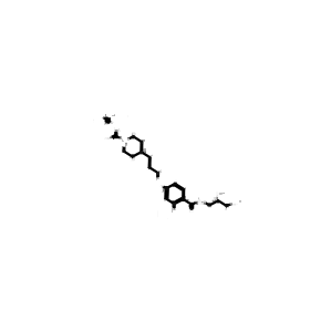 Cc1cc(OCCCC2CCN(C(=O)OC(C)(C)C)CC2)ccc1C(=O)NC[C@H](O)CO